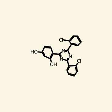 Oc1ccc(-c2nc(-c3ccccc3Cl)nc(-c3ccccc3Cl)n2)c(O)c1